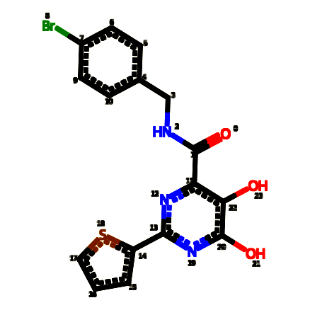 O=C(NCc1ccc(Br)cc1)c1nc(-c2cccs2)nc(O)c1O